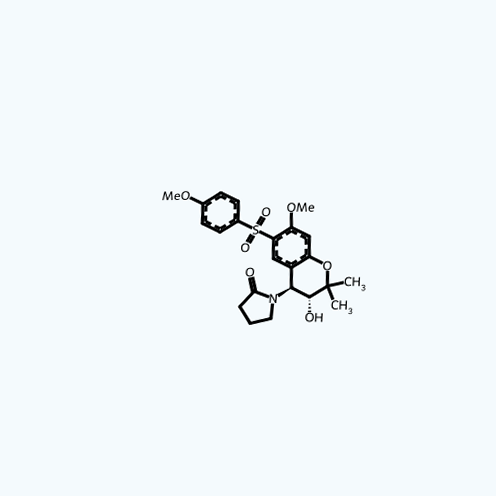 COc1ccc(S(=O)(=O)c2cc3c(cc2OC)OC(C)(C)[C@H](O)[C@H]3N2CCCC2=O)cc1